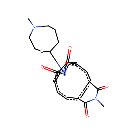 CN1CCCC(n2c(=O)c3ccc4cc(cc(cc3)c2=O)C(=O)N(C)C4=O)CCC1